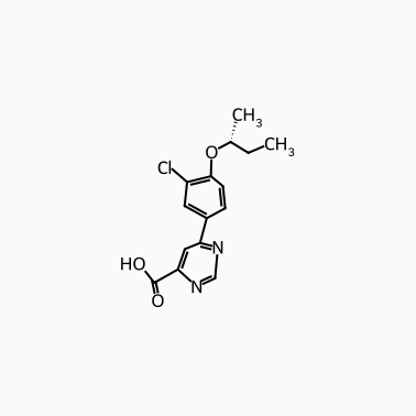 CC[C@@H](C)Oc1ccc(-c2cc(C(=O)O)ncn2)cc1Cl